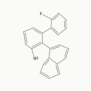 Fc1ccccc1-c1cccc(S)c1-c1cccc2ccccc12